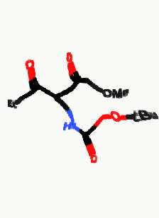 CCC(=O)C(NC(=O)OC(C)(C)C)C(=O)OC